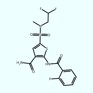 CN(CC(F)F)S(=O)(=O)c1cc(C(N)=O)c(NC(=O)c2ccccc2F)s1